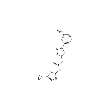 Cc1cccc(-n2cc(CC(=O)Nc3ncc(C4CC4)s3)cn2)c1